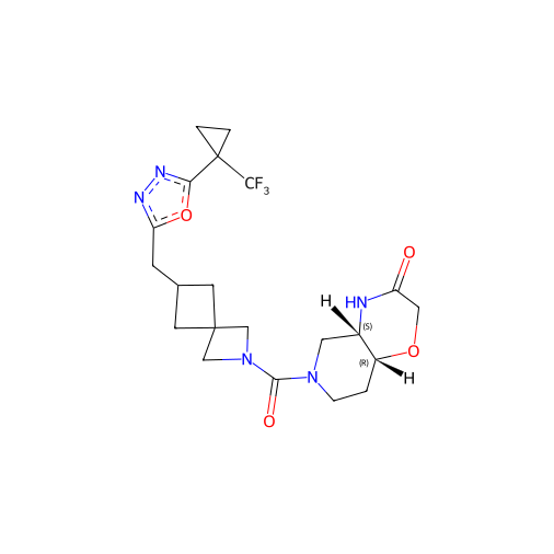 O=C1CO[C@@H]2CCN(C(=O)N3CC4(CC(Cc5nnc(C6(C(F)(F)F)CC6)o5)C4)C3)C[C@@H]2N1